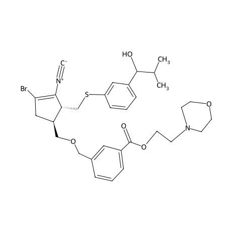 [C-]#[N+]C1=C(Br)C[C@H](COCc2cccc(C(=O)OCCN3CCOCC3)c2)[C@H]1CSc1cccc(C(O)C(C)C)c1